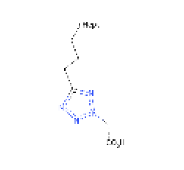 CCCCCCCCCCc1nnn(CC(=O)O)n1